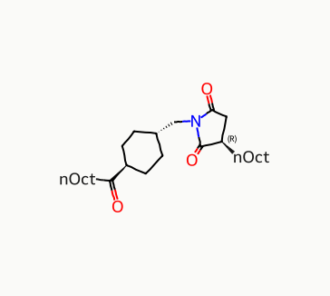 CCCCCCCCC(=O)[C@H]1CC[C@H](CN2C(=O)C[C@@H](CCCCCCCC)C2=O)CC1